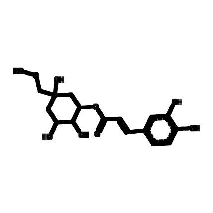 O=C(C=Cc1ccc(O)c(O)c1)OC1CC(O)(COO)CC(O)C1O